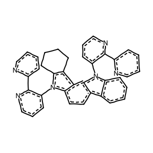 c1ccc(-c2ncccc2-n2c3c(c4c2ccc2c5ccccc5n(-c5cccnc5-c5ccccn5)c24)CCCC3)nc1